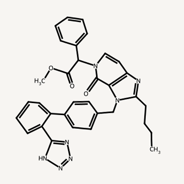 CCCCc1nc2ccn(C(C(=O)OC)c3ccccc3)c(=O)c2n1Cc1ccc(-c2ccccc2-c2nnn[nH]2)cc1